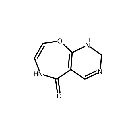 O=C1NC=COC2=C1C=NCN2